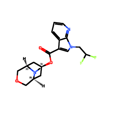 CN1[C@@H]2COC[C@H]1C[C@@H](OC(=O)c1cn(CC(F)F)c3ncccc13)C2